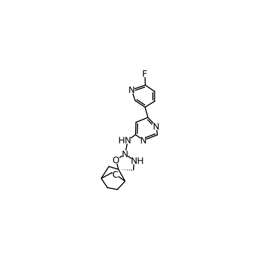 Fc1ccc(-c2cc(NN3NC[C@]4(CC5CCC4CC5)O3)ncn2)cn1